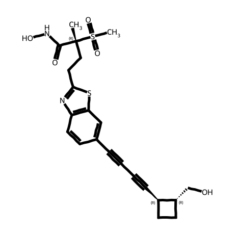 C[C@@](CCc1nc2ccc(C#CC#C[C@@H]3CC[C@H]3CO)cc2s1)(C(=O)NO)S(C)(=O)=O